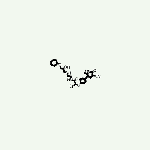 CCC(Oc1ccc(-c2cc(C#N)c(=O)[nH]c2C)cc1)C(=O)NCCNCC(O)COc1ccccc1